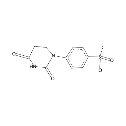 O=C1CCN(c2ccc(S(=O)(=O)Cl)cc2)C(=O)N1